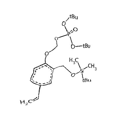 C=Cc1ccc(OCOP(=O)(OC(C)(C)C)OC(C)(C)C)c(CO[Si](C)(C)C(C)(C)C)c1